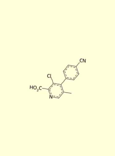 Cc1cnc(C(=O)O)c(Cl)c1-c1ccc(C#N)cc1